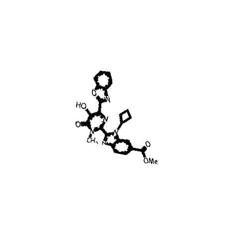 COC(=O)c1ccc2nc(-c3nc(-c4nc5ccccc5o4)c(O)c(=O)n3C)n(C3CCC3)c2c1